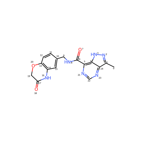 Cc1n[nH]c2c(C(=O)NCc3ccc4c(c3)NC(=O)CO4)ncnc12